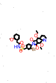 CCOc1c2c(c(OCC)c3ncccc13)C(=O)N(c1ccc(CS(=O)(=O)NC(=O)Cc3ccccc3OC)cc1Br)C2=O